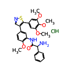 COc1ccc(-c2cnsc2-c2cc(OC)c(OC)c(OC)c2)cc1NC(=O)C(N)c1ccccc1.Cl